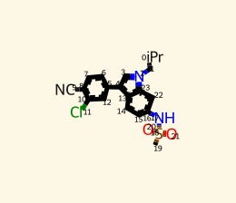 CC(C)Cn1cc(-c2ccc(C#N)c(Cl)c2)c2ccc(NS(C)(=O)=O)cc21